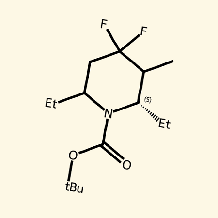 CCC1CC(F)(F)C(C)[C@H](CC)N1C(=O)OC(C)(C)C